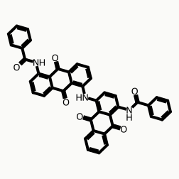 O=C(Nc1cccc2c1C(=O)c1cccc(Nc3ccc(NC(=O)c4ccccc4)c4c3C(=O)c3ccccc3C4=O)c1C2=O)c1ccccc1